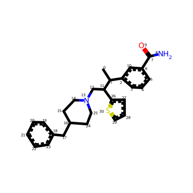 CC(c1cccc(C(N)=O)c1)C(CN1CCC(Cc2ccccc2)CC1)c1cccs1